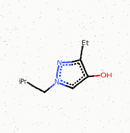 CCc1nn(CC(C)C)cc1O